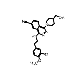 COc1ccc(CCNc2nnc(N3CCC(CO)CC3)c3ccc(C#N)cc23)cc1Cl